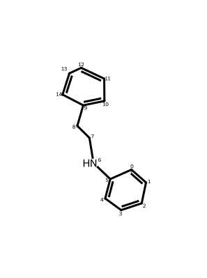 [c]1ccccc1NCCc1ccccc1